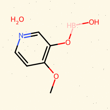 COc1ccncc1OBO.O